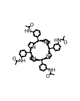 CC(=O)Nc1cccc(-c2c3nc(c(-c4cccc(NC(C)=O)c4)c4ccc([nH]4)c(-c4cccc(NC(C)=O)c4)c4nc(c(-c5cccc(NC(C)=O)c5)c5ccc2[nH]5)C=C4)C=C3)c1